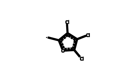 [CH2]c1oc(Cl)c(Cl)c1Cl